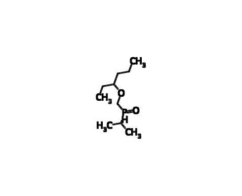 CCCC(CC)OC[PH](=O)C(C)C